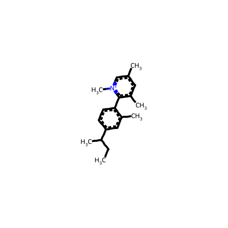 CCC(C)c1ccc(-c2c(C)cc(C)c[n+]2C)c(C)c1